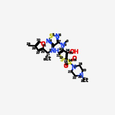 CC[C@@H](Nc1nsnc1N(C)c1csc(S(=O)(=O)N2CCN(CC)CC2)c1O)c1cc(C)co1